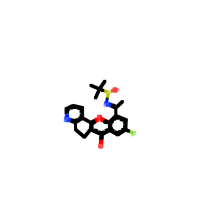 CC(=N[S+]([O-])C(C)(C)C)c1cc(F)cc2c(=O)c3c(oc12)-c1cccnc1CC3